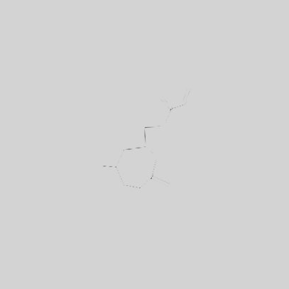 C=CC(=O)OCC1CC(CC)CCC(=O)O1